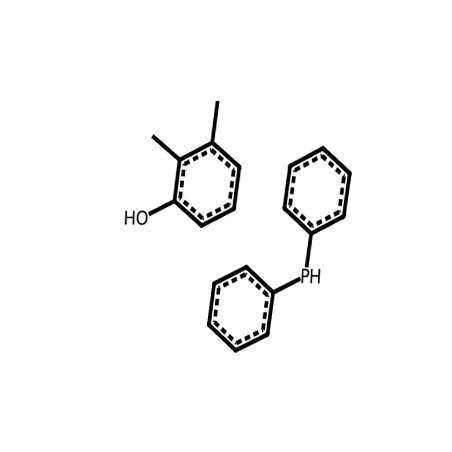 Cc1cccc(O)c1C.c1ccc(Pc2ccccc2)cc1